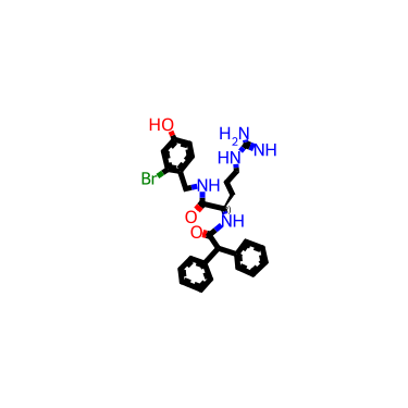 N=C(N)NCCC[C@@H](NC(=O)C(c1ccccc1)c1ccccc1)C(=O)NCc1ccc(O)cc1Br